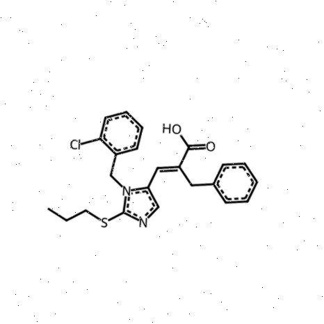 CCCSc1ncc(/C=C(\Cc2ccccc2)C(=O)O)n1Cc1ccccc1Cl